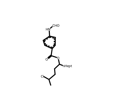 CCCCCCCC(CCC(C)Cl)OC(=O)c1ccc(NC=O)cc1